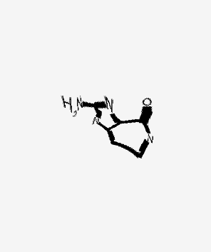 NC1=NC2=CC=NC(=O)C2=N1